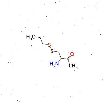 CCCSSCC(N)C(C)=O